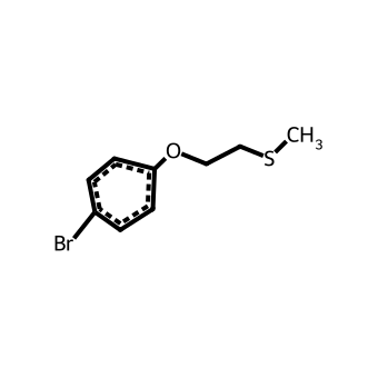 CSCCOc1ccc(Br)cc1